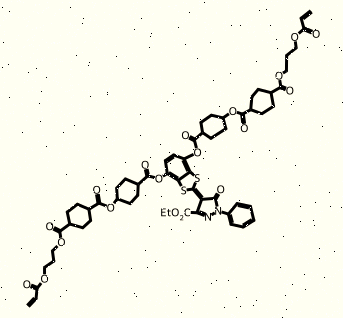 C=CC(=O)OCCCOC(=O)C1CCC(C(=O)OC2CCC(C(=O)Oc3ccc(OC(=O)C4CCC(OC(=O)C5CCC(C(=O)OCCCOC(=O)C=C)CC5)CC4)c4c3SC(=C3C(=O)N(c5ccccc5)N=C3C(=O)OCC)S4)CC2)CC1